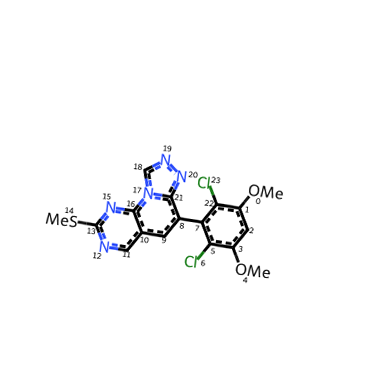 COc1cc(OC)c(Cl)c(-c2cc3cnc(SC)nc3n3cnnc23)c1Cl